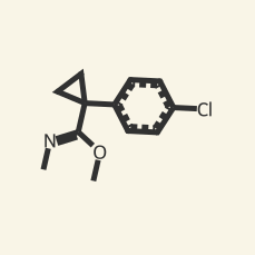 C/N=C(\OC)C1(c2ccc(Cl)cc2)CC1